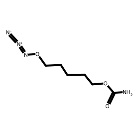 [N-]=[N+]=NOCCCCCOC(N)=O